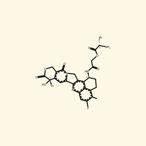 CC[C@@]1(O)C(=O)OCc2c1cc1n(c2=O)Cc2c-1nc1cc(F)c(C)c3c1c2[C@@H](NC(=O)COC(=O)[C@@H](N)C(C)C)CC3